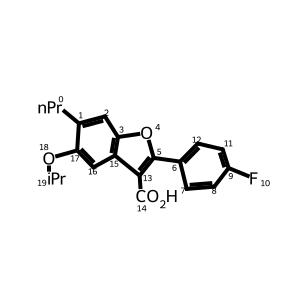 CCCc1cc2oc(-c3ccc(F)cc3)c(C(=O)O)c2cc1OC(C)C